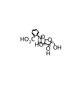 O=C(O)c1ccccc1NOC1O[C@H](CO)[C@H](O)[C@H]1O